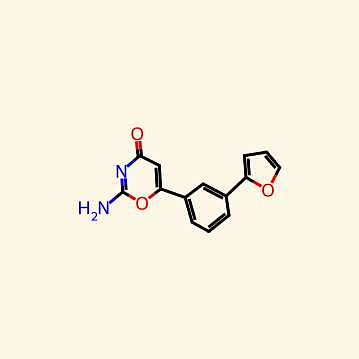 Nc1nc(=O)cc(-c2cccc(-c3ccco3)c2)o1